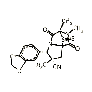 CN1C(=O)[C@]23C[C@](C)(C#N)[C@H](c4ccc5c(c4)OCO5)N2C(=O)[C@@]1(C)S3=S